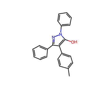 Cc1ccc(-c2c(-c3ccccc3)nn(-c3ccccc3)c2O)cc1